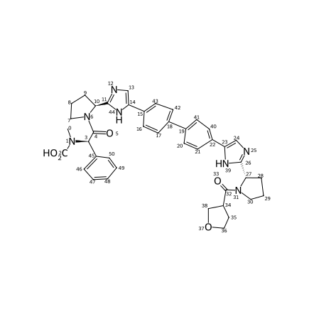 CN(C(=O)O)[C@@H](C(=O)N1CCC[C@H]1c1ncc(-c2ccc(-c3ccc(-c4cnc([C@@H]5CCCN5C(=O)C5CCOC5)[nH]4)cc3)cc2)[nH]1)c1ccccc1